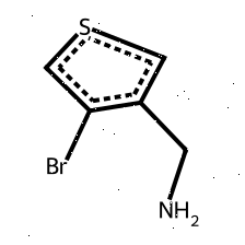 NCc1cscc1Br